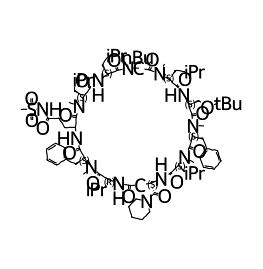 CCCCN1CC(=O)N(C)[C@@H](CC(C)C)C(=O)N[C@@H](COC(C)(C)C)C(=O)N(C)[C@@H](Cc2ccccc2)C(=O)N(C)[C@@H](C(C)C)C(=O)N[C@H](C(=O)N2CCCCC2)CC(=O)N[C@H](C(C)C)C(=O)N(C)[C@@H](Cc2ccccc2)C(=O)NC(CCC(=O)NS(C)(=O)=O)C(=O)N(C)[C@@H](CC(C)C)C(=O)N[C@@H](CC(C)C)C1=O